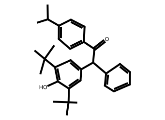 CC(C)c1ccc(C(=O)C(c2ccccc2)c2cc(C(C)(C)C)c(O)c(C(C)(C)C)c2)cc1